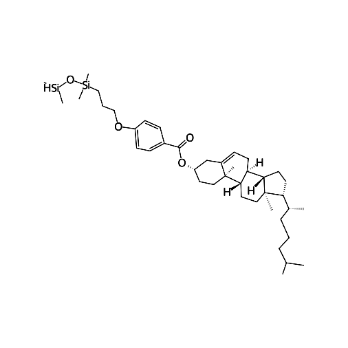 CC(C)CCC[C@@H](C)[C@H]1CC[C@H]2[C@@H]3CC=C4C[C@@H](OC(=O)c5ccc(OCCC[Si](C)(C)O[SiH](C)C)cc5)CC[C@]4(C)[C@H]3CC[C@]12C